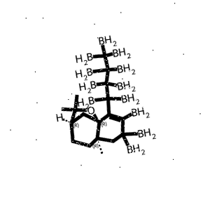 BC1=C(C(B)(B)C(B)(B)C(B)(B)C(B)(B)B)[C@@]23C[C@@H](CC[C@]2(C)CC1(B)B)C(C)(C)O3